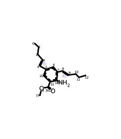 CCC/C=C/c1cc(/C=C/CCC)c(N)c(C(=O)OC)c1